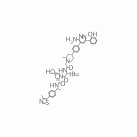 Cc1ncsc1-c1ccc(C(C)NC(=O)[C@@H]2C[C@@H](O)CN2C(=O)C(NC(=O)CN2CCC(c3ccc(-c4cc(-c5ccccc5O)nnc4N)cc3)CC2C)C(C)(C)C)cc1